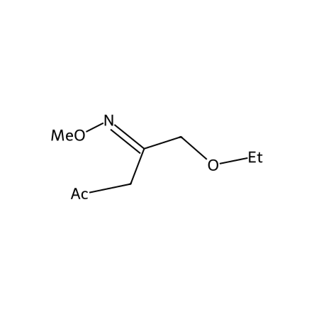 CCOC/C(CC(C)=O)=N/OC